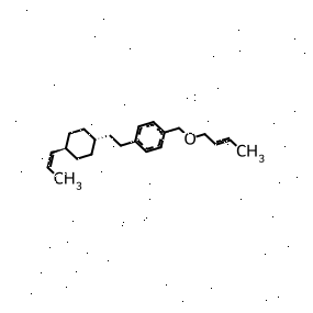 C/C=C\[C@H]1CC[C@H](CCc2ccc(COC/C=C/C)cc2)CC1